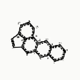 C1=Cc2cc3cc4ccccc4cc3c3cccc1c23